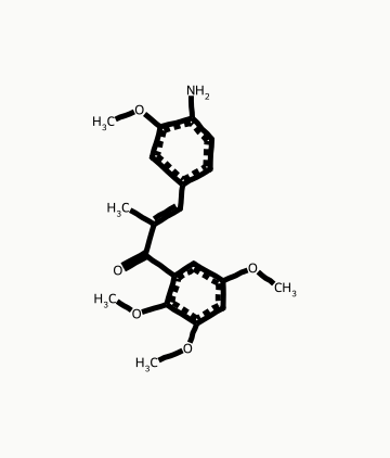 COc1cc(OC)c(OC)c(C(=O)C(C)=Cc2ccc(N)c(OC)c2)c1